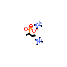 C=CC(C)P(=O)([O-])[O-].C[N+](C)(C)C.C[N+](C)(C)C